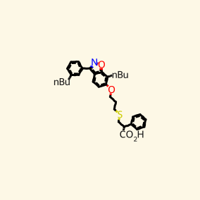 CCCCc1cccc(-c2noc3c(CCCC)c(OCCCSCC(C(=O)O)c4ccccc4)ccc23)c1